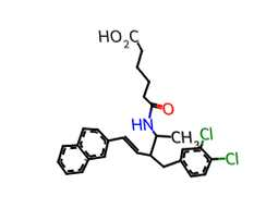 CC(NC(=O)CCCCC(=O)O)C(C=Cc1ccc2ccccc2c1)Cc1ccc(Cl)c(Cl)c1